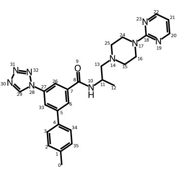 Cc1ccc(-c2cc(C(=O)NC(C)CN3CCN(c4ncccn4)CC3)cc(-n3cnnn3)c2)cc1